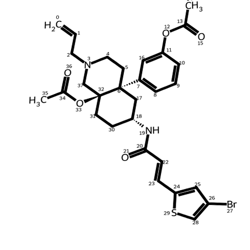 C=CCN1CC[C@@]2(c3cccc(OC(C)=O)c3)C[C@H](NC(=O)/C=C/c3cc(Br)cs3)CC[C@]2(OC(C)=O)C1